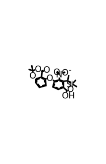 CC(c1c(C(=O)O)ccc(Oc2cccc3c2C(=O)OC(C)(C)O3)c1[N+](=O)[O-])[Si](C)(C)C